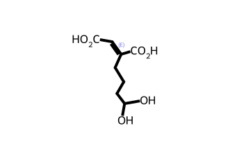 O=C(O)/C=C(\CCCC(O)O)C(=O)O